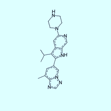 Cc1cc(-c2[nH]c3cnc(N4CCNCC4)cc3c2C(C)C)cn2ncnc12